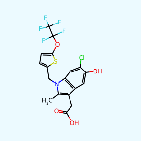 Cc1c(CC(=O)O)c2cc(O)c(Cl)cc2n1Cc1ccc(OC(F)(F)C(F)(F)F)s1